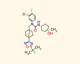 CC(C)(F)c1nc(C23CCC(CN(C(=O)N[C@H]4CC[C@](C)(O)CC4)c4ccc(F)c(Br)c4)(CC2)CC3)no1